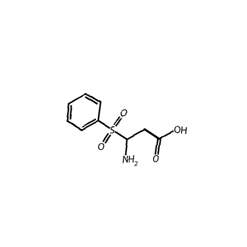 NC(CC(=O)O)S(=O)(=O)c1ccccc1